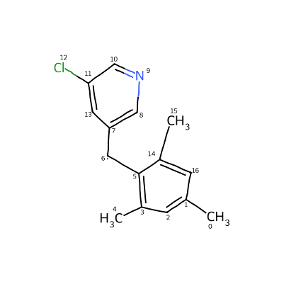 Cc1cc(C)c([CH]c2cncc(Cl)c2)c(C)c1